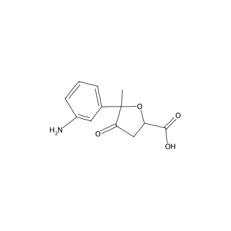 CC1(c2cccc(N)c2)OC(C(=O)O)CC1=O